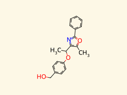 Cc1oc(-c2ccccc2)nc1C(C)Oc1ccc(CO)cc1